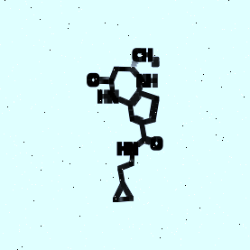 C[C@H]1CC(=O)Nc2cc(C(=O)NCCC3CC3)ccc2N1